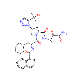 CC(NC(=O)[C@@H]1C[C@H](n2nncc2C(C)(C)O)CN1C(=O)/C(CC1CCCCC1)=N/C(=O)c1cccc2ccccc12)C(=O)C(N)=O